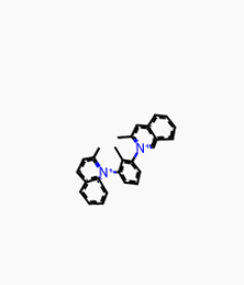 Cc1c(-[n+]2cc3ccccc3cc2C)cccc1-[n+]1c(C)ccc2ccccc21